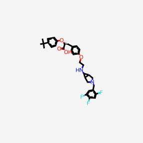 CC(C)(C)c1ccc(O[C@@H](Cc2ccc(OCCNC3C4CN(Cc5cc(F)c(F)cc5F)CC43)cc2)C(=O)O)cc1